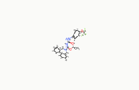 CCO/C(=N\C(=O)Nc1ccc(OC(F)(F)F)cc1)N1Cc2ccccc2-c2ccccc2C1